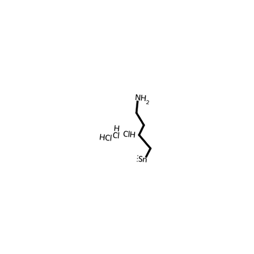 Cl.Cl.Cl.NCCC[CH2][Sn]